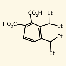 CCC(CC)c1ccc(C(=O)O)c(C(=O)O)c1C(CC)CC